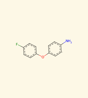 Nc1[c]cc(Oc2ccc(F)cc2)cc1